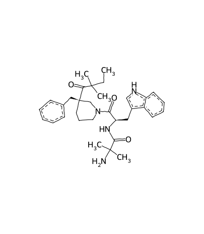 CCC(C)(C)C(=O)[C@@]1(Cc2ccccc2)CCCN(C(=O)[C@@H](Cc2c[nH]c3ccccc23)NC(=O)C(C)(C)N)C1